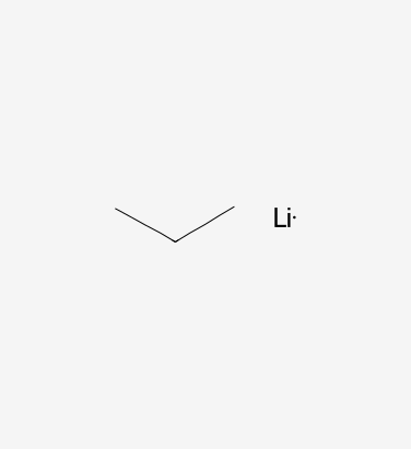 CCC.[Li]